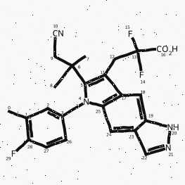 Cc1cc(-n2c(C(C)(C)CC#N)c(CC(F)(F)C(=O)O)c3cc4[nH]ncc4cc32)ccc1F